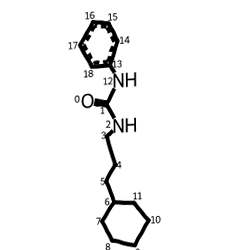 O=C(NCCCC1CCCCC1)Nc1ccccc1